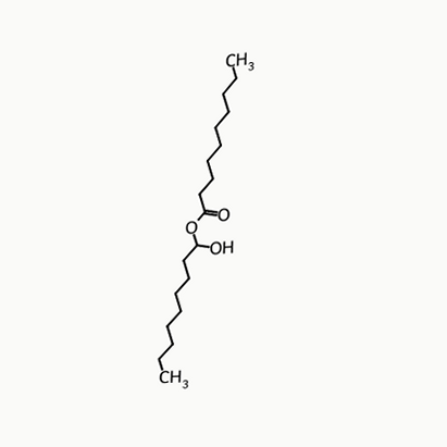 CCCCCCCCCC(=O)OC(O)CCCCCCCC